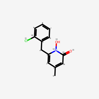 Cc1cc(Cc2ccccc2Cl)n(O)c(=O)c1